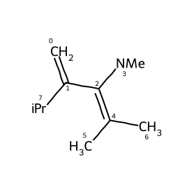 C=C(C(NC)=C(C)C)C(C)C